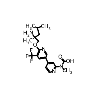 CC(C)C[C@](C)(N)COc1ncc(-c2ccnc(N(C)C(=O)O)c2)cc1C(F)(F)F